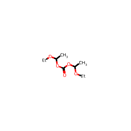 CCOC(C)OC(=O)OC(C)OCC